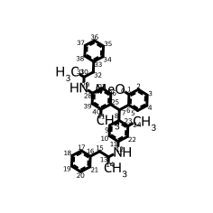 COc1ccccc1C(c1ccc(NC(C)Cc2ccccc2)cc1C)c1ccc(NC(C)Cc2ccccc2)cc1C